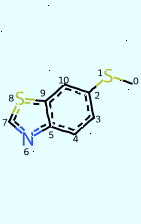 CSc1ccc2ncsc2c1